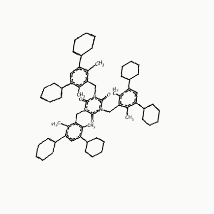 Cc1c(C2CCCCC2)cc(C2CCCCC2)c(C)c1Cn1c(=O)n(Cc2c(C)c(C3CCCCC3)cc(C3CCCCC3)c2C)c(=O)n(Cc2c(C)c(C3CCCCC3)cc(C3CCCCC3)c2C)c1=O